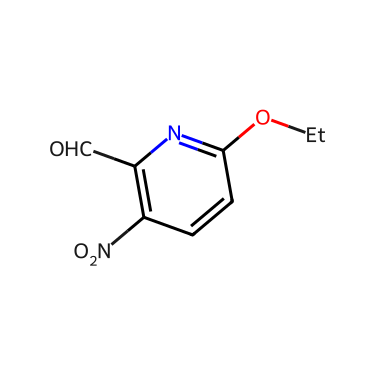 CCOc1ccc([N+](=O)[O-])c(C=O)n1